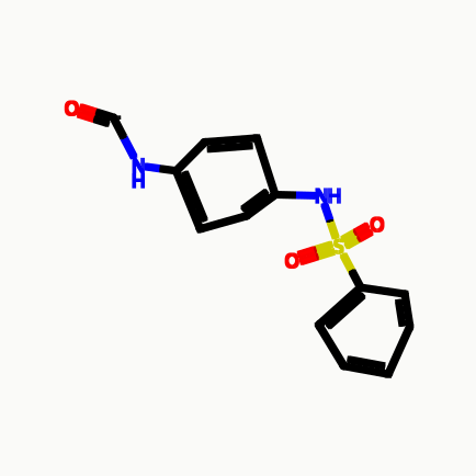 O=[C]Nc1ccc(NS(=O)(=O)c2ccccc2)cc1